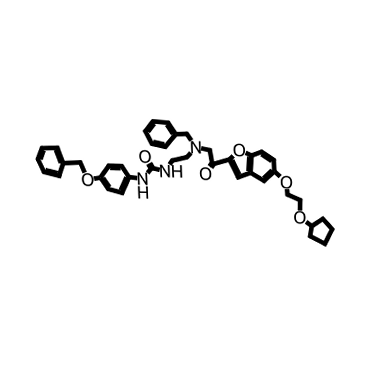 O=C(NCCN(CC(=O)c1cc2cc(OCCOC3CCCC3)ccc2o1)Cc1ccccc1)Nc1ccc(OCc2ccccc2)cc1